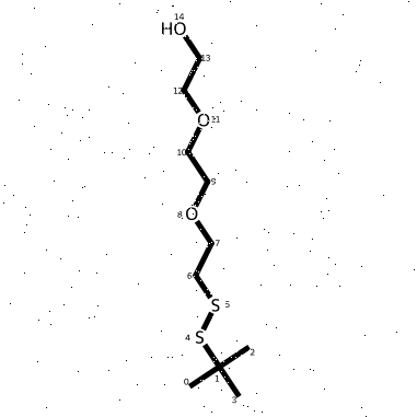 CC(C)(C)SSCCOCCOCCO